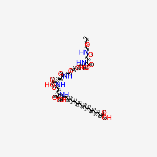 CCCOCCNC(=O)CC[C@H](NC(=O)COCCOCCNC(=O)CC[C@H](NC(=O)CC[C@H](NC(=O)CCCCCCCCCCCCCCCCC(=O)O)C(=O)O)C(=O)O)C(=O)O